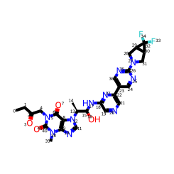 CCC(=O)Cn1c(=O)c2c(ncn2[C@@H](C)C(O)Nc2cncc(-c3cnc(N4CC5C(C4)C5(F)F)nc3)n2)n(C)c1=O